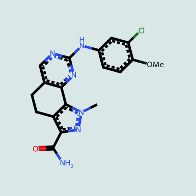 COc1ccc(Nc2ncc3c(n2)-c2c(c(C(N)=O)nn2C)CC3)cc1Cl